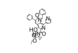 CCOC(=O)C1(NC(=O)c2nc(-c3cccnc3)c3c(cc(-c4ccccc4)c(=O)n3Cc3ccccc3)c2O)CC1